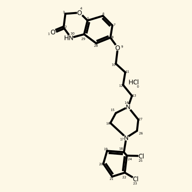 Cl.O=C1COc2ccc(OCCCCN3CCN(c4cccc(Cl)c4Cl)CC3)cc2N1